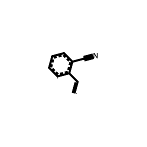 [CH]=Cc1[c]cccc1C#N